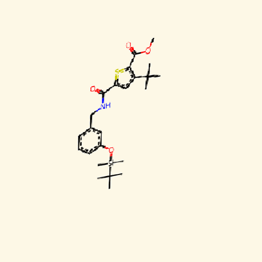 COC(=O)c1sc(C(=O)NCc2cccc(O[Si](C)(C)C(C)(C)C)c2)cc1C(C)(C)C